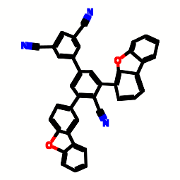 N#Cc1cc(C#N)cc(-c2cc(-c3ccc4oc5ccccc5c4c3)c(C#N)c(-c3cccc4c3oc3ccccc34)c2)c1